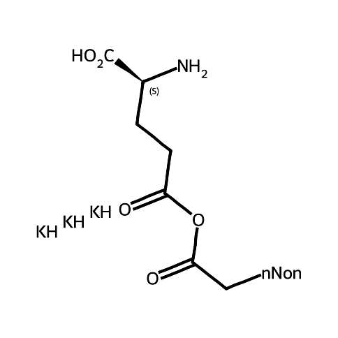 CCCCCCCCCCC(=O)OC(=O)CC[C@H](N)C(=O)O.[KH].[KH].[KH]